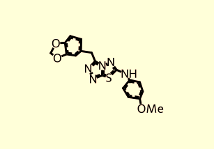 COc1ccc(Nc2nn3c(Cc4ccc5c(c4)OCO5)nnc3s2)cc1